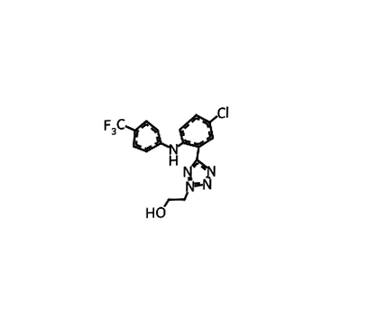 OCCn1nnc(-c2cc(Cl)ccc2Nc2ccc(C(F)(F)F)cc2)n1